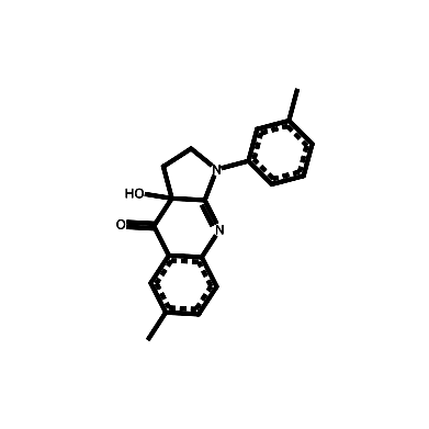 Cc1cccc(N2CCC3(O)C(=O)c4cc(C)ccc4N=C23)c1